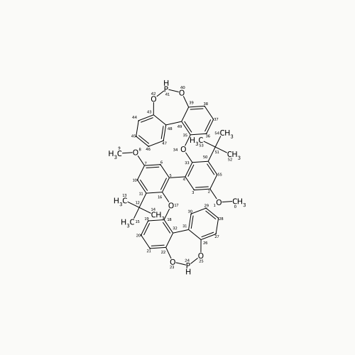 COc1cc(-c2cc(OC)cc(C(C)(C)C)c2Oc2cccc3o[pH]oc4ccccc4c23)c(Oc2cccc3o[pH]oc4ccccc4c23)c(C(C)(C)C)c1